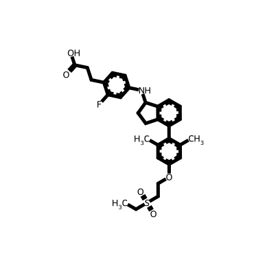 CCS(=O)(=O)CCOc1cc(C)c(-c2cccc3c2CCC3Nc2ccc(CCC(=O)O)c(F)c2)c(C)c1